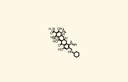 CC(C)N(C)c1c(CNC2CCCCC2)cc(O)c2c1C[C@H]1C[C@H]3[C@H](N(C)C)C(O)=C(C(N)=O)C(=N)[C@@]3(O)C(O)=C1C2=O